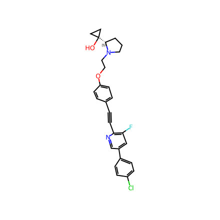 OC1([C@@H]2CCCN2CCOc2ccc(C#Cc3ncc(-c4ccc(Cl)cc4)cc3F)cc2)CC1